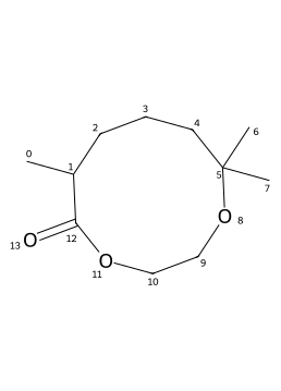 CC1CCCC(C)(C)OCCOC1=O